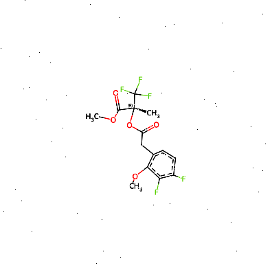 COC(=O)[C@@](C)(OC(=O)Cc1ccc(F)c(F)c1OC)C(F)(F)F